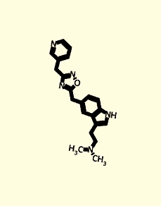 CN(C)CCc1c[nH]c2ccc(Cc3nc(Cc4cccnc4)no3)cc12